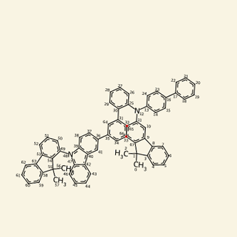 CC1(C)c2ccccc2-c2cc(N(c3ccc(-c4ccccc4)cc3)c3ccccc3-c3cccc(-c4ccc5c(c4)c4ccccc4n5-c4cccc5c4C(C)(C)c4ccccc4-5)c3)ccc21